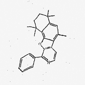 Cc1cc2c(c3oc4c(-c5ccccc5)nccc4c13)C(C)(C)CCC2(C)C